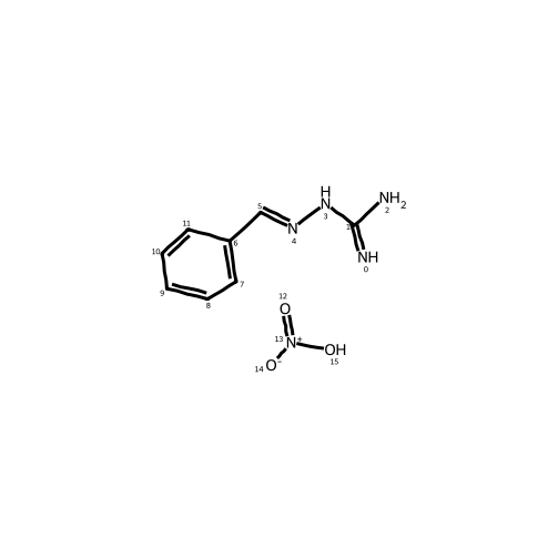 N=C(N)N/N=C/c1ccccc1.O=[N+]([O-])O